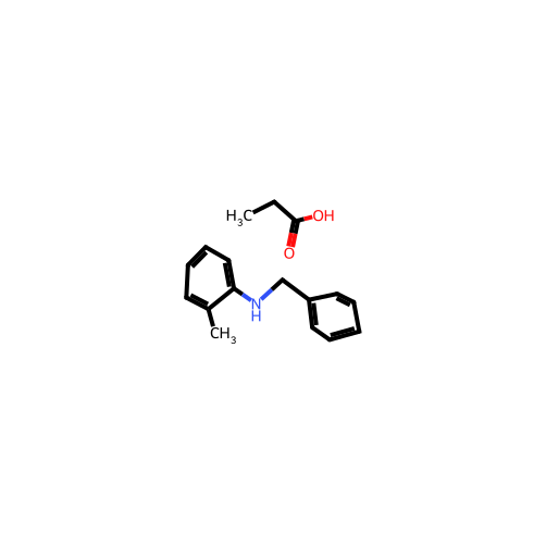 CCC(=O)O.Cc1ccccc1NCc1ccccc1